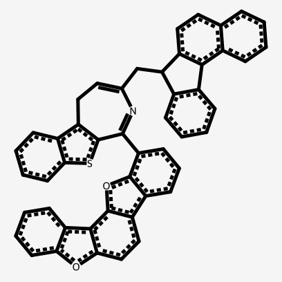 C1=C(CC2c3ccccc3-c3c2ccc2ccccc32)N=C(c2cccc3c2oc2c3ccc3oc4ccccc4c32)c2sc3ccccc3c2C1